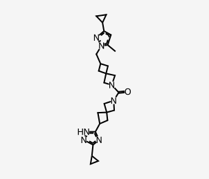 Cc1cc(C2CC2)nn1CC1CC2(C1)CN(C(=O)N1CC3(CC(c4nc(C5CC5)n[nH]4)C3)C1)C2